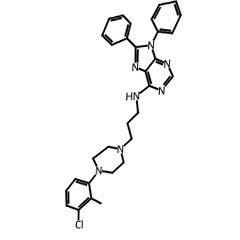 Cc1c(Cl)cccc1N1CCN(CCCNc2ncnc3c2nc(-c2ccccc2)n3-c2ccccc2)CC1